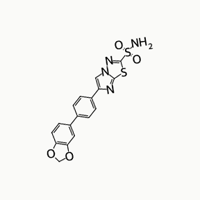 NS(=O)(=O)c1nn2cc(-c3ccc(-c4ccc5c(c4)OCO5)cc3)nc2s1